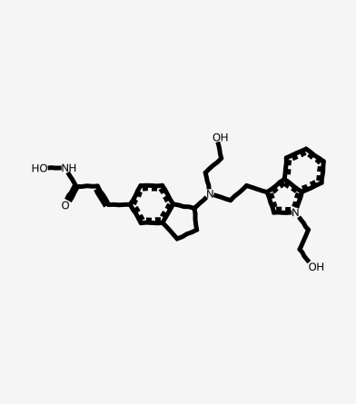 O=C(/C=C/c1ccc2c(c1)CCC2N(CCO)CCc1cn(CCO)c2ccccc12)NO